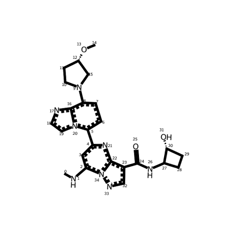 CNc1cc(-c2ccc(N3CC[C@H](OC)C3)c3nccn23)nc2c(C(=O)NC3CC[C@H]3O)cnn12